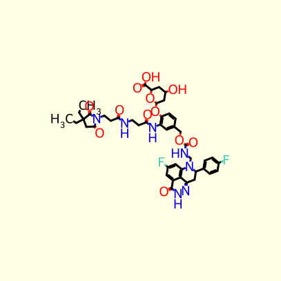 CCC1(CC)CC(=O)N(CCC(=O)NCCC(=O)Nc2cc(COC(=O)NCN3c4cc(F)cc5c(=O)[nH]nc(c45)CC3c3ccc(F)cc3)ccc2OC2CC(O)CC(C(=O)O)O2)C1=O